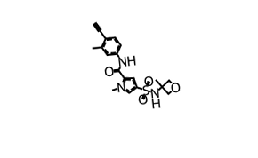 C#Cc1ccc(NC(=O)c2cc(S(=O)(=O)NC3(C)COC3)cn2C)cc1C